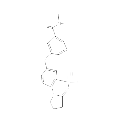 CN(C)C(=O)c1cccc(Oc2ccc3c(c2)S(O)(O)N=C2CCCN23)c1